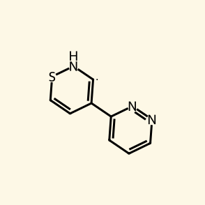 [C]1=C(c2cccnn2)C=CSN1